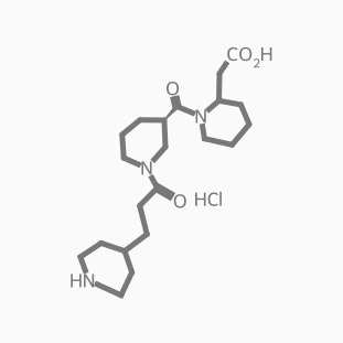 Cl.O=C(O)CC1CCCCN1C(=O)[C@@H]1CCCN(C(=O)CCC2CCNCC2)C1